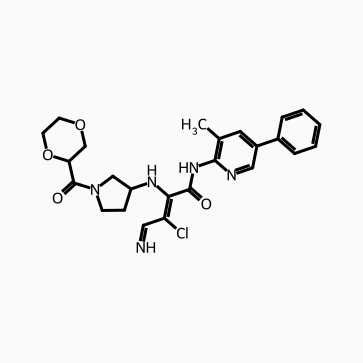 Cc1cc(-c2ccccc2)cnc1NC(=O)/C(NC1CCN(C(=O)C2COCCO2)C1)=C(\Cl)C=N